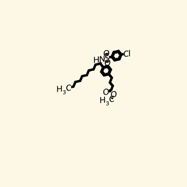 CCCCCCCCCC(NS(=O)(=O)c1ccc(Cl)cc1)c1ccc(CCCC(=O)OC)cc1